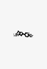 Brc1ccc(C2=CC3NCCC3C2)cn1